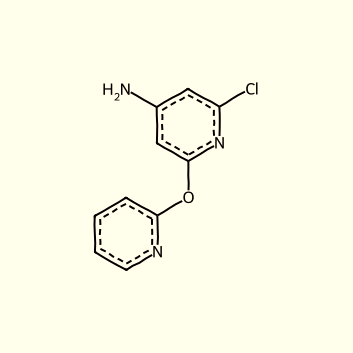 Nc1cc(Cl)nc(Oc2ccccn2)c1